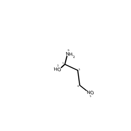 NC(O)CCN=O